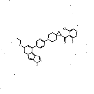 CCOc1cc(-c2ccc(N3CCC4(CC3)CN4C(=O)c3c(F)cccc3Cl)nc2)c2c3cn[nH]c3nn2c1